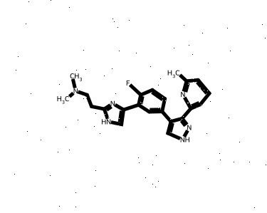 Cc1cccc(-c2n[nH]cc2-c2ccc(F)c(-c3c[nH]c(CCN(C)C)n3)c2)n1